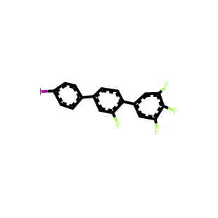 Fc1cc(-c2ccc(I)cc2)ccc1-c1cc(F)c(F)c(F)c1